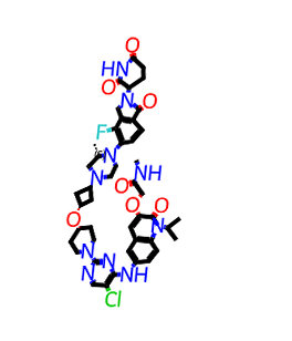 CNC(=O)COc1cc2cc(Nc3nc(N4CCC(O[C@H]5C[C@H](N6CCN(c7ccc8c(c7F)CN(C7CCC(=O)NC7=O)C8=O)[C@@H](C)C6)C5)CC4)ncc3Cl)ccc2n(C(C)C)c1=O